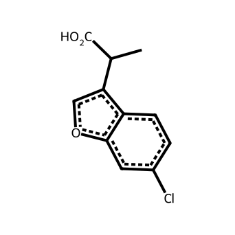 CC(C(=O)O)c1coc2cc(Cl)ccc12